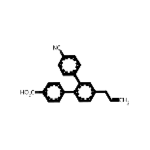 C=CCc1ccc(-c2ccc(C(=O)O)cc2)c(-c2ccc(C#N)cc2)c1